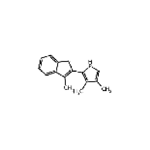 CC1=C(c2[pH]cc(C)c2C)[CH]c2ccccc21